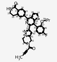 CC#CC(=O)N1CCn2nc(-c3nc(-c4ccc5c(c4)CCNC5=O)c4ccsc4c3-c3ccc(F)cc3OC(C)C)cc2C1